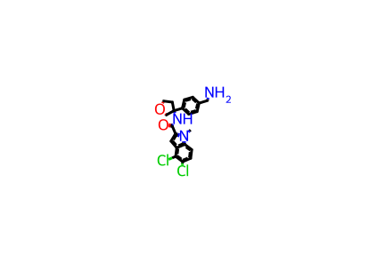 Cn1c(C(=O)NC2(c3ccc(CN)cc3)CCOC2)cc2c(Cl)c(Cl)ccc21